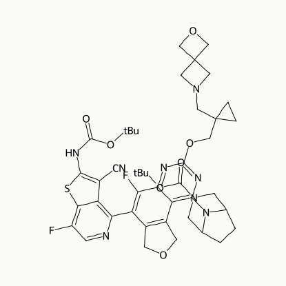 CC(C)(C)OC(=O)Nc1sc2c(F)cnc(-c3c4c(c5c(N6C7CCC6CN(C(=O)OC(C)(C)C)C7)nc(OCC6(CN7CC8(COC8)C7)CC6)nc5c3F)COC4)c2c1C#N